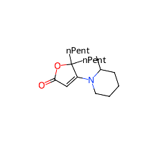 CCCCCC1(CCCCC)OC(=O)C=C1N1CCCCC1C